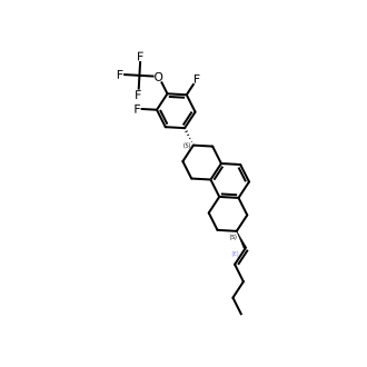 CCC/C=C/[C@H]1CCc2c(ccc3c2CC[C@H](c2cc(F)c(OC(F)(F)F)c(F)c2)C3)C1